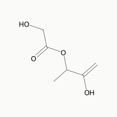 C=C(O)C(C)OC(=O)CO